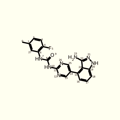 Cc1ccc(F)c(NC(=O)Nc2ncc(-c3cccc4[nH]nc(N)c34)cn2)c1